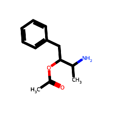 CC(=O)OC(Cc1ccccc1)C(C)N